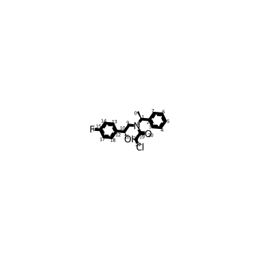 C[C@@H](c1ccccc1)N(C[C@H](O)c1ccc(F)cc1)C(=O)CCl